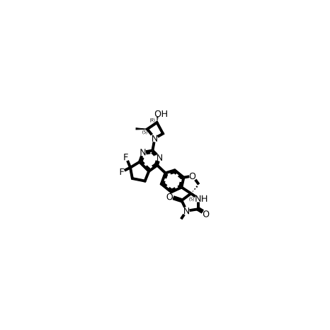 C[C@H]1[C@H](O)CN1c1nc(-c2ccc3c(c2)OC[C@@]32NC(=O)N(C)C2=O)c2c(n1)C(F)(F)CC2